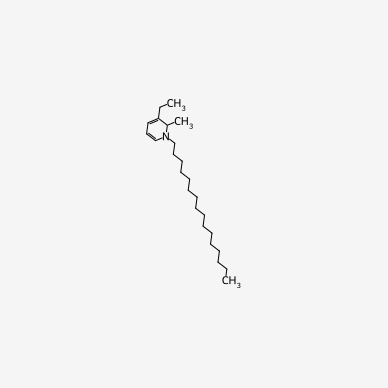 CCCCCCCCCCCCCCCCN1C=CC=C(CC)C1C